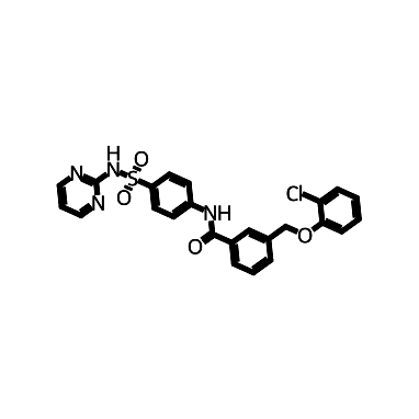 O=C(Nc1ccc(S(=O)(=O)Nc2ncccn2)cc1)c1cccc(COc2ccccc2Cl)c1